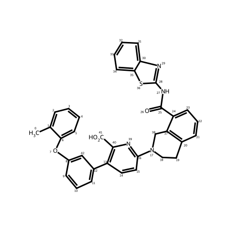 Cc1ccccc1Oc1cccc(-c2ccc(N3CCc4cccc(C(=O)Nc5nc6ccccc6s5)c4C3)nc2C(=O)O)c1